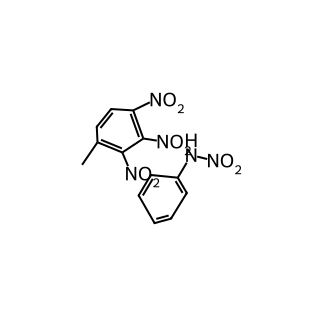 Cc1ccc([N+](=O)[O-])c([N+](=O)[O-])c1[N+](=O)[O-].O=[N+]([O-])Nc1ccccc1